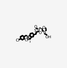 O=C1S/C(=C\c2ccc3c(cnn3Cc3ccc(Cl)cc3C(F)(F)F)c2)C(=O)N1C[C@@H]1CN(CCO)CCO1